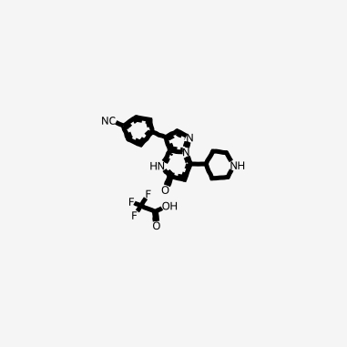 N#Cc1ccc(-c2cnn3c(C4CCNCC4)cc(=O)[nH]c23)cc1.O=C(O)C(F)(F)F